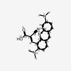 CN(C)c1ccc2cc3ccc(N(C)C)c(/C=C(\C#N)C(=O)O)c3nc2c1